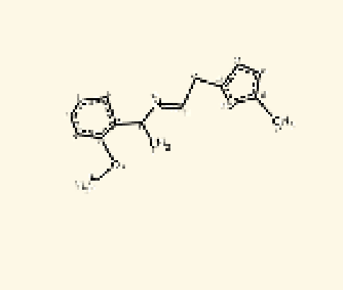 COc1ccccc1C(C)N=CCc1ccc(C)s1